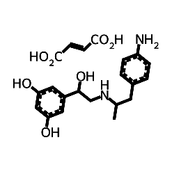 CC(Cc1ccc(N)cc1)NCC(O)c1cc(O)cc(O)c1.O=C(O)C=CC(=O)O